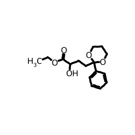 CCOC(=O)C(O)CCC1(c2ccccc2)OCCCO1